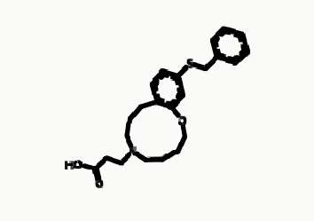 O=C(O)CCN1CCCCOc2cc(SCc3ccccc3)ccc2CCC1